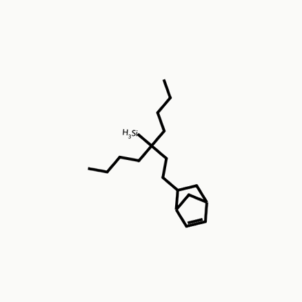 CCCCC([SiH3])(CCCC)CCC1CC2C=CC1C2